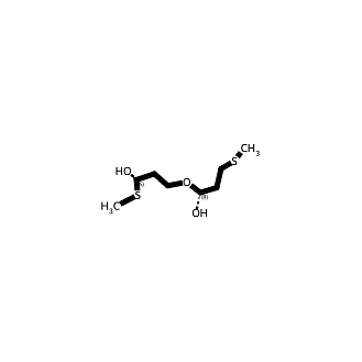 CSCC[C@H](O)OCC[C@@H](O)SC